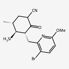 COc1ccc(Br)c(C[C@H]2C(=O)C(C#N)C[C@@H](C)[C@@H]2[SiH3])n1